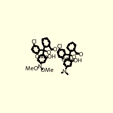 COc1ccc(Cl)cc1C1(c2ccc(N(C)C)cc2O)OC(=O)c2ccccc21.COc1ccc(Cl)cc1C1(c2ccc(N(OC)OC)cc2O)OC(=O)c2ccccc21